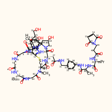 CC[C@H](C)[C@@H]1NC(=O)CNC(=O)C2Cc3c([nH]c4ccccc34)SC[C@H](C(=O)N[C@@H](CC(=O)NCc3ccc(NC(=O)[C@H](C)NC(=O)[C@@H](NC(=O)CCN4C(=O)C=CC4=O)C(C)C)cc3)C(=O)N3C[C@H](O)C[C@]3(C=O)N[C@@H]([C@@H](C)[C@@H](O)CO)C(=O)N2)N(C)C(=O)CNC1=O